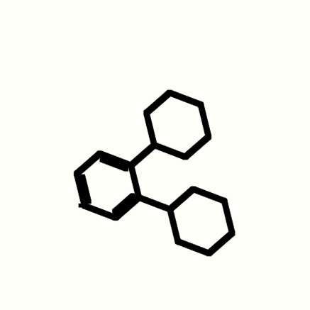 [c]1ccc(C2CCCCC2)c(C2CCCCC2)c1